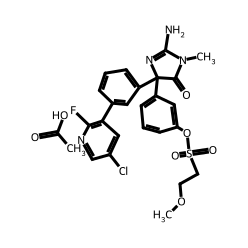 CC(=O)O.COCCS(=O)(=O)Oc1cccc(C2(c3cccc(-c4cc(Cl)cnc4F)c3)N=C(N)N(C)C2=O)c1